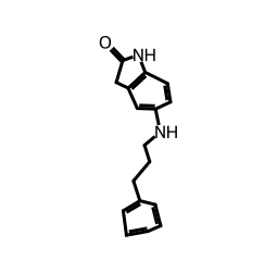 O=C1Cc2cc(NCCCc3ccccc3)ccc2N1